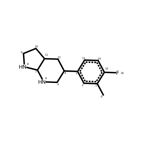 Cc1cc(C2CNC3NCCC3C2)ccc1F